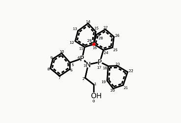 OCCN(P(c1ccccc1)c1ccccc1)P(c1ccccc1)c1ccccc1